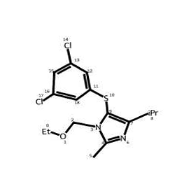 [CH2]COCn1c(C)nc(C(C)C)c1Sc1cc(Cl)cc(Cl)c1